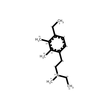 CCc1ccc(CCN(C)CC)c(C)c1C